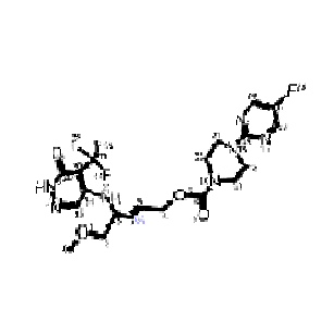 COCC(/C=C/COC(=O)N1CCN(c2ncc(F)cn2)CC1)Nc1cn[nH]c(=O)c1C(F)(F)F